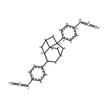 O=C=Nc1ccc(C23CC4CC5(c6ccc(N=C=O)cc6)CC(C2)C5(C4)C3)cc1